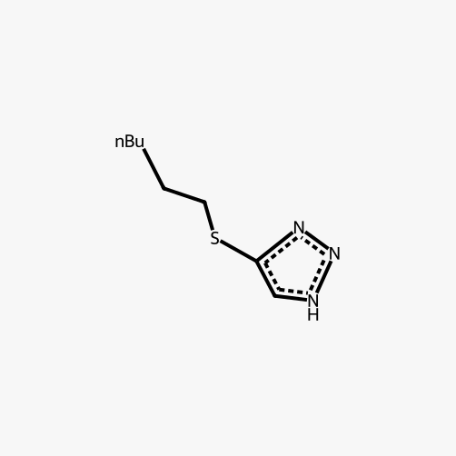 CCCCCCSc1c[nH]nn1